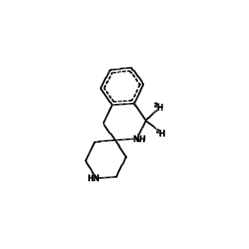 [2H]C1([2H])NC2(CCNCC2)Cc2ccccc21